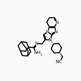 N#CC[C@H]1CC[C@H](n2c(CN=C(N)C34CC5CC(CC(C5)C3)C4)cn3c4c(nc32)N=CCC4)CC1